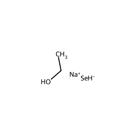 CCO.[Na+].[SeH-]